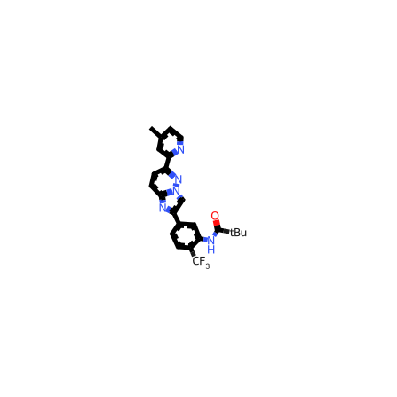 Cc1ccnc(-c2ccc3nc(-c4ccc(C(F)(F)F)c(NC(=O)C(C)(C)C)c4)cn3n2)c1